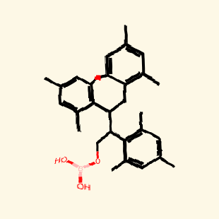 Cc1cc(C)c(CC(c2c(C)cc(C)cc2C)C(COB(O)O)c2c(C)cc(C)cc2C)c(C)c1